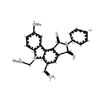 C=Cc1cc2c(c3c4cc(OC)ccc4n(COC)c13)C(=O)N(c1ccccc1)C2=O